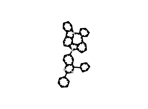 c1ccc(-c2nc(-c3ccccc3)c3cc(-n4c5cccc6c7ccccc7n7c8ccccc8c8ccc4c(c65)c87)ccc3n2)cc1